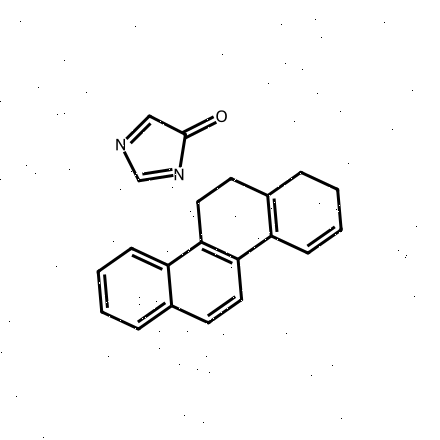 C1=CC2=C(CC1)CCc1c2ccc2ccccc12.O=C1C=NC=N1